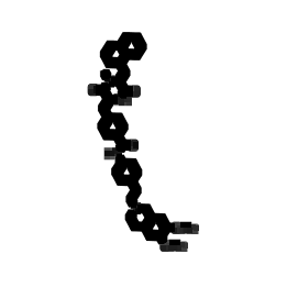 COc1cc2c(cc1OC)CN(CCc1ccc(NC(=O)c3ccc(/C=c4\[nH]c(=O)/c(=C/c5cccc6ccccc56)n(C)c4=O)cc3)cc1)CC2